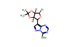 CC[C@H]1OC(c2cnn3c(SC)ncnc23)[C@@H]2OC(C)(C)O[C@H]12